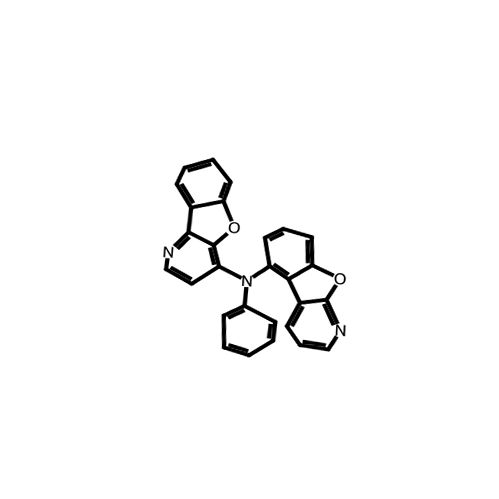 c1ccc(N(c2ccnc3c2oc2ccccc23)c2cccc3oc4ncccc4c23)cc1